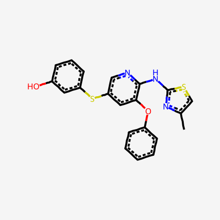 Cc1csc(Nc2ncc(Sc3cccc(O)c3)cc2Oc2ccccc2)n1